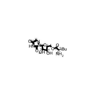 CC[C@H](C)[C@H](N)C(=O)OCC1OC(n2ncc(=O)[nH]c2=O)C(O)C1O